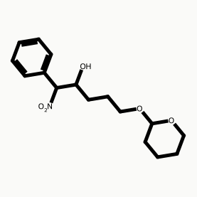 O=[N+]([O-])C(c1ccccc1)C(O)CCCOC1CCCCO1